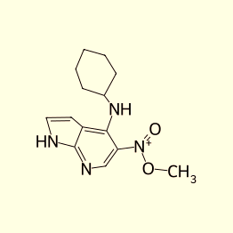 CO[N+](=O)c1cnc2[nH]ccc2c1NC1CCCCC1